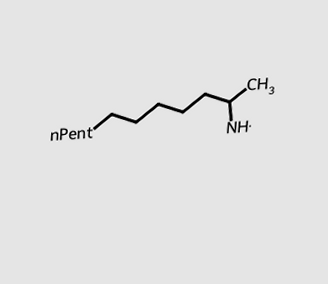 CCCCCCCCCCC(C)[NH]